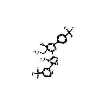 CCc1c(S)cc(-c2ccc(C(F)(F)F)cc2)nc1-c1nnc(-c2cc(C(F)(F)F)ccn2)n1C